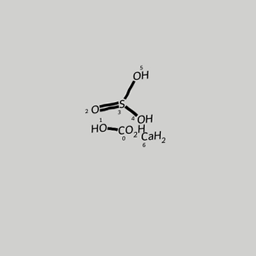 O=C(O)O.O=S(O)O.[CaH2]